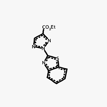 CCOC(=O)c1cnn(-c2nc3ccccc3s2)n1